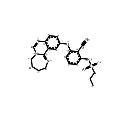 CCCS(=O)(=O)Nc1cccc(Oc2ccc3c(c2)C2=NCCCCN2C=N3)c1C#N